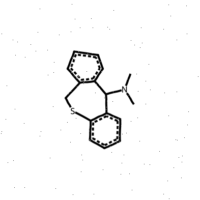 CN(C)C1c2ccccc2CSc2ccccc21